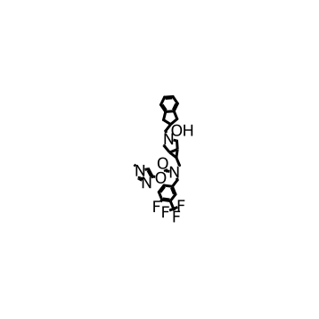 Cn1cnc(OC(=O)N(Cc2ccc(F)c(C(F)(F)F)c2)CC2C3CN(CC4(O)Cc5ccccc5C4)CC32)c1